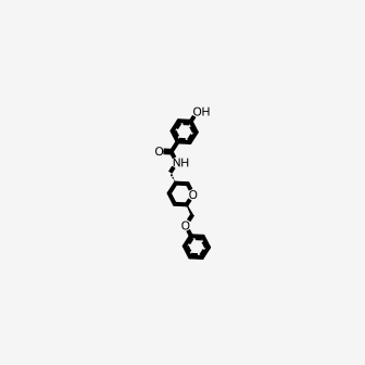 O=C(NC[C@H]1CC[C@H](COc2ccccc2)OC1)c1ccc(O)cc1